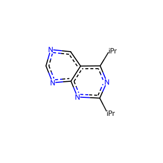 CC(C)c1nc(C(C)C)c2cncnc2n1